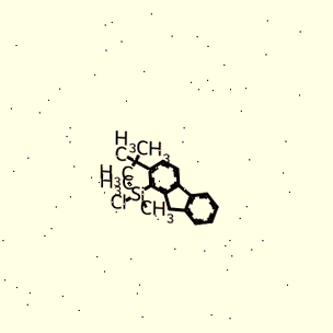 CC(C)(C)c1ccc2c(c1[Si](C)(C)Cl)Cc1ccccc1-2